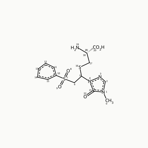 Cn1cnn(C(CS(=O)(=O)c2ccccc2)SC[C@H](N)C(=O)O)c1=O